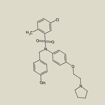 Cc1ccc(Cl)cc1S(=O)(=O)N(Cc1ccc(O)cc1)c1ccc(OCCN2CCCC2)cc1